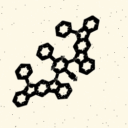 N#Cc1c(-n2c3ccccc3c3cc4c5ccccc5n(-c5ccccc5)c4cc32)nc(-c2ccccc2)nc1-n1c2ccccc2c2cc3c4ccccc4n(-c4ccccc4)c3cc21